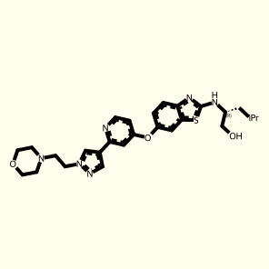 CC(C)C[C@H](CO)Nc1nc2ccc(Oc3ccnc(-c4cnn(CCN5CCOCC5)c4)c3)cc2s1